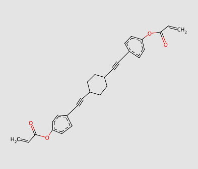 C=CC(=O)Oc1ccc(C#CC2CCC(C#Cc3ccc(OC(=O)C=C)cc3)CC2)cc1